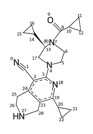 N#Cc1c(N2CCN(C(=O)C3CC3)[C@H](C3CC3)C2)nc(C2CC2)c2c1CCNC2